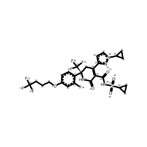 O=C1N[C@@](c2ccc(OCCCC(F)(F)F)cc2F)(C(F)(F)F)CC(c2ccn(C3CC3)n2)=C1C(=O)NS(=O)(=O)C1CC1